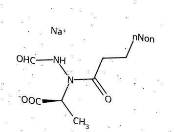 CCCCCCCCCCCC(=O)N(NC=O)[C@@H](C)C(=O)[O-].[Na+]